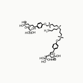 C[Si](C)(CCC[Si](C)(CCC[SiH3])CCC[Si](C)(C)COc1ccc(CCN(C[PH](O)(O)O)C[PH](O)(O)O)cc1)COc1ccc(CCN(C[PH](O)(O)O)C[PH](O)(O)O)cc1